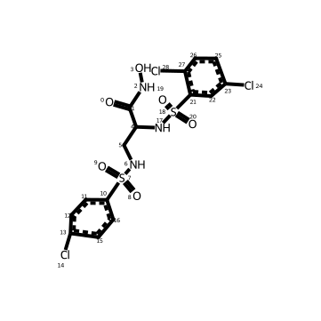 O=C(NO)C(CNS(=O)(=O)c1ccc(Cl)cc1)NS(=O)(=O)c1cc(Cl)ccc1Cl